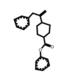 C=C(Cc1ccccc1)C1CCC(C(=O)Oc2ccccc2)CC1